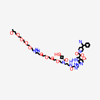 COc1cnc(-n2cnc(C(=O)NCCCN(CCOCCOCCOCCOCc3cn(CCOCCOCCOCCOCCC(C)=O)nn3)C(=O)[C@H]3C[C@H](O)C3)n2)c2[nH]cc(C(=O)C(=O)N3CCC(=C(C#N)c4ccccc4)CC3)c12